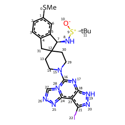 CSc1ccc2c(c1)[C@@H](N[S@+]([O-])C(C)(C)C)C1(CCN(c3nc4[nH]nc(I)c4c4nncn34)CC1)C2